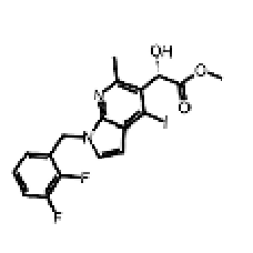 COC(=O)[C@@H](O)c1c(C)nc2c(ccn2Cc2cccc(F)c2F)c1I